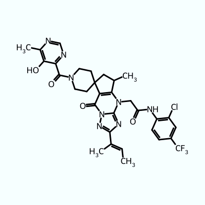 C/C=C(\C)c1nc2n(CC(=O)Nc3ccc(C(F)(F)F)cc3Cl)c3c(c(=O)n2n1)C1(CCN(C(=O)c2ncnc(C)c2O)CC1)CC3C